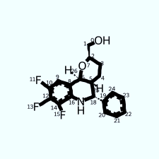 OC[C@H]1CC[C@@H]2[C@H](O1)c1cc(F)c(F)c(F)c1N[C@H]2c1ccccc1